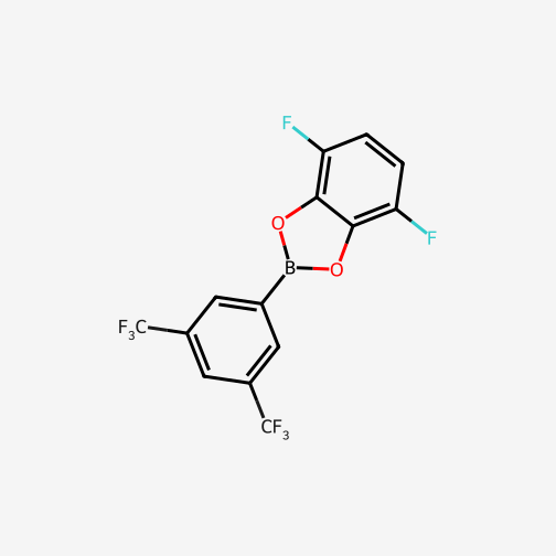 Fc1ccc(F)c2c1OB(c1cc(C(F)(F)F)cc(C(F)(F)F)c1)O2